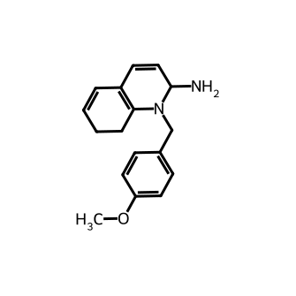 COc1ccc(CN2C3=C(C=CCC3)C=CC2N)cc1